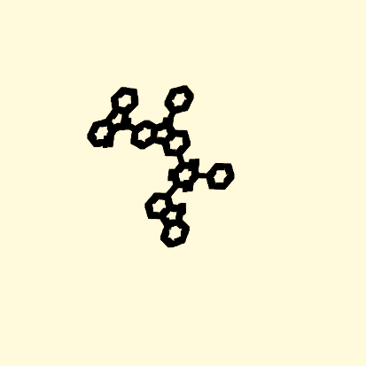 c1ccc(-c2nc(-c3ccc4c(c3)c3ccc(-n5c6ccccc6c6cccnc65)cc3n4-c3ccccc3)nc(-c3cccc4c3sc3ccccc34)n2)cc1